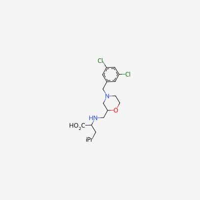 CC(C)CC(NCC1CN(Cc2cc(Cl)cc(Cl)c2)CCO1)C(=O)O